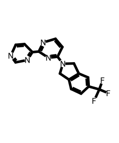 FC(F)(F)c1ccc2c(c1)CN(c1ccnc(-c3ccncn3)n1)C2